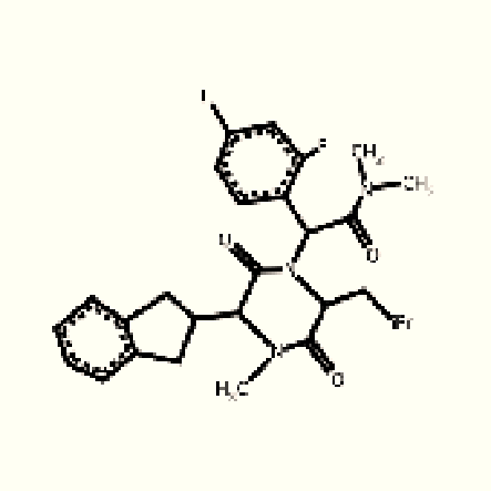 CC(C)CC1C(=O)N(C)C(C2Cc3ccccc3C2)C(=O)N1C(C(=O)N(C)C)c1ccc(F)cc1F